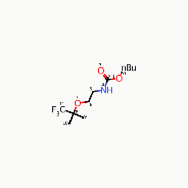 CCCCOC(=O)NCCOC(C)(C)C(F)(F)F